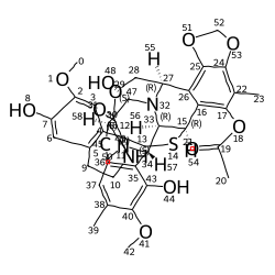 COc1cc2c(cc1O)CCN[C@]21CS[C@@H]2c3c(OC(C)=O)c(C)c4c(c3[C@H](COC1=O)N1[C@@H]2[C@@H]2c3c(cc(C)c(OC)c3O)C[C@@H]([C@@H]1O)N2C)OCO4